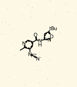 Cc1ncc(C(=O)Nc2cc(C(C)(C)C)on2)cc1N=[N+]=[N-]